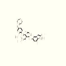 Cc1cc2c(F)c(Oc3ncnc(Nc4ccc(CN5CCNCC5)cn4)c3C(=O)N(C)C)cc(F)c2[nH]1